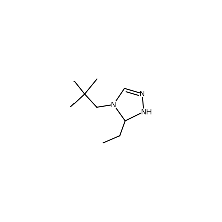 CCC1NN=CN1CC(C)(C)C